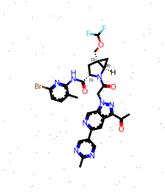 CC(=O)c1nn(CC(=O)N2[C@H](C(=O)Nc3nc(Br)ccc3C)C[C@@]3(COC(F)F)C[C@@H]23)c2cnc(-c3cnc(C)nc3)cc12